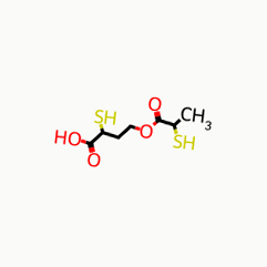 CC(S)C(=O)OCCC(S)C(=O)O